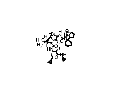 CC(C)(C)[C@H](NC(=O)NC1(C2CCCS2(=O)=O)CCCCC1)C(=O)N1C[C@H]2[C@@H]([C@H]1C(=O)N[C@@H](CCC1CC1)C(=O)C(=O)NC1CC1)C2(C)C